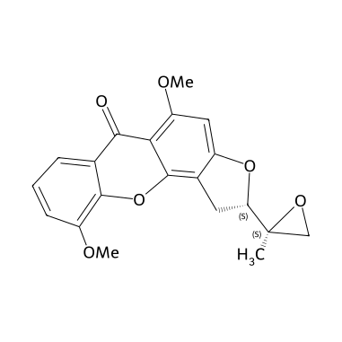 COc1cccc2c(=O)c3c(OC)cc4c(c3oc12)C[C@@H]([C@]1(C)CO1)O4